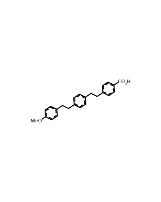 COc1ccc(CCc2ccc(CCc3ccc(C(=O)O)cc3)cc2)cc1